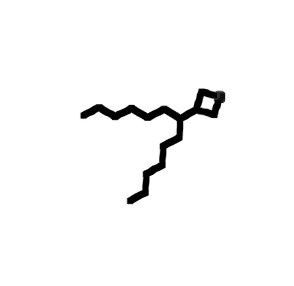 CCCCCCC(CCCCCC)C1COC1